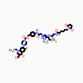 CCn1cc(C=O)c(=O)c2cc(F)c(N3CCN(C(=O)OCc4ccc(NC(=O)Cn5cc(C(NC(=O)CNC(=O)CCCCCN6C(=O)CCC6=O)C(C)C)nn5)cc4)CC3)cc21